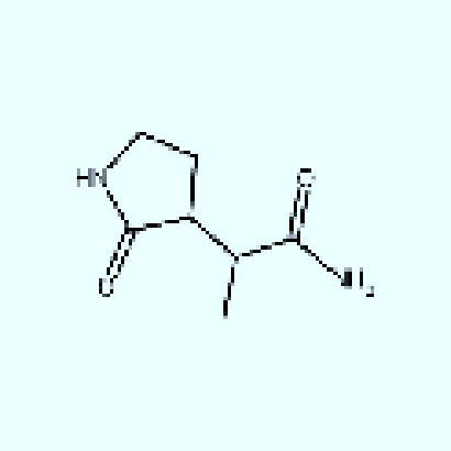 CC(C(N)=O)C1CCNC1=O